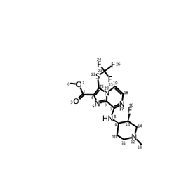 COC(=O)c1nc2c(N[C@@H]3CCN(C)C[C@@H]3F)nccn2c1SC(F)(F)F